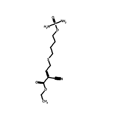 CCOC(=O)C(C#N)=CCSCCCCOP(N)(N)=O